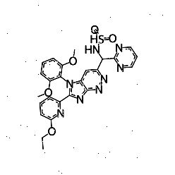 CCOc1cccc(-c2nc3nnc(C(N[SH](=O)=O)c4ncccn4)cc3n2-c2c(OC)cccc2OC)n1